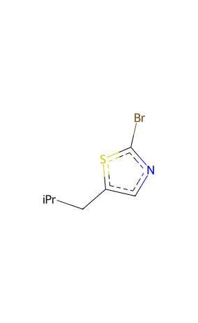 CC(C)Cc1cnc(Br)s1